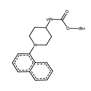 CC(C)(C)OC(=O)NC1CCN(c2cccc3ccccc23)CC1